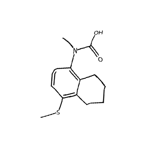 CSc1ccc(N(C)C(=O)O)c2c1CCCC2